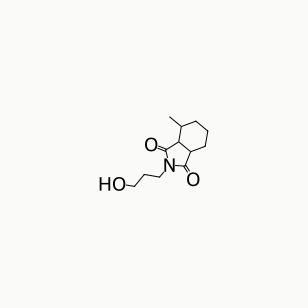 CC1CCCC2C(=O)N(CCCO)C(=O)C12